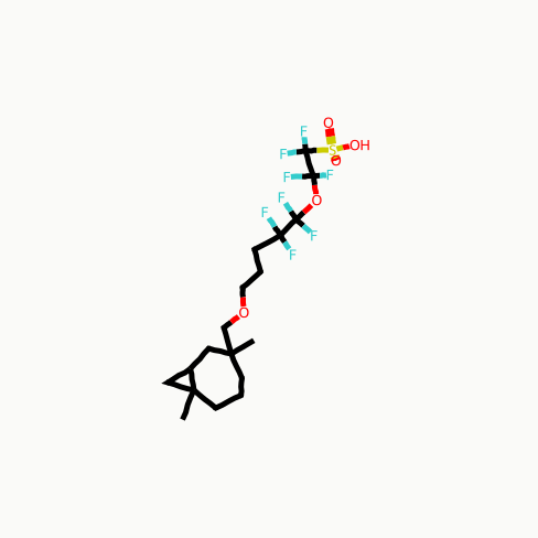 CC1(COCCCC(F)(F)C(F)(F)OC(F)(F)C(F)(F)S(=O)(=O)O)CCCC2(C)CC2C1